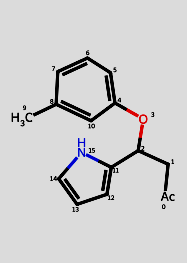 CC(=O)CC(Oc1cccc(C)c1)c1ccc[nH]1